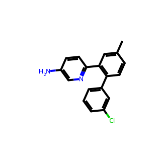 Cc1ccc(-c2cccc(Cl)c2)c(-c2ccc(N)cn2)c1